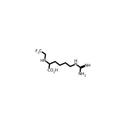 N=C(N)NCCCCC(NCC(F)(F)F)C(=O)O